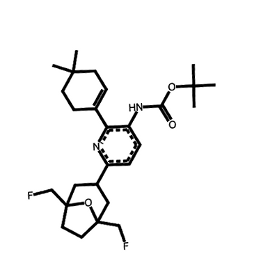 CC1(C)CC=C(c2nc(C3CC4(CF)CCC(CF)(C3)O4)ccc2NC(=O)OC(C)(C)C)CC1